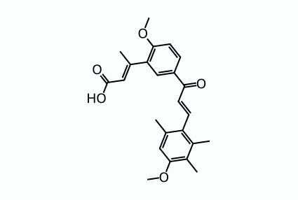 COc1ccc(C(=O)C=Cc2c(C)cc(OC)c(C)c2C)cc1C(C)=CC(=O)O